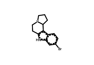 Brc1ccc2c3c([nH]c2c1)CCN1CCCC31